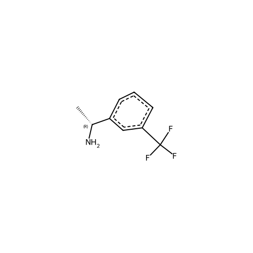 C[C@@H](N)c1cccc(C(F)(F)F)c1